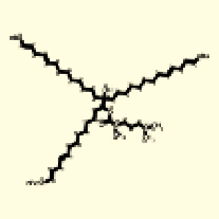 CCCCC=CCC=CCCCCCCCCC(O)(CCCCCCCCC=CCC=CCCCC)C(CCCCCCCC=CCC=CCCCCC)OC(=O)N(C)CCCN(C)C